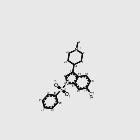 CN1CCC(c2cn(S(=O)(=O)c3ccccc3)c3cc(Cl)ccc23)CC1